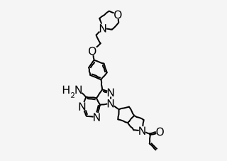 C=CC(=O)N1CC2CC(n3nc(-c4ccc(OCCN5CCOCC5)cc4)c4c(N)ncnc43)CC2C1